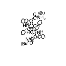 CC[C@H](C)[C@H](N)C(=O)OCO[C@@H]1Cc2ccccc2[C@@H]1NC(=O)[C@H](OCc1ccccc1)[C@H](O)[C@@H](O)[C@@H](OCc1ccccc1)C(=O)N[C@H]1c2ccccc2C[C@H]1OCOC(=O)[C@@H](N)[C@@H](C)CC